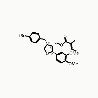 CC=C(C)C(=O)OC[C@H]1[C@@H](Cc2ccc(C(C)(C)C)cc2)CO[C@@H]1c1ccc(OC)c(OC)c1